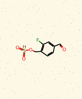 O=Cc1ccc(CO[SH](=O)=O)c(F)c1